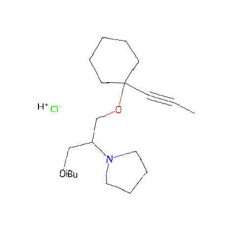 CC#CC1(OCC(COCC(C)C)N2CCCC2)CCCCC1.[Cl-].[H+]